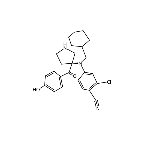 N#Cc1ccc(N(CC2CCCCC2)[C@@]2(C(=O)c3ccc(O)cc3)CCNC2)cc1Cl